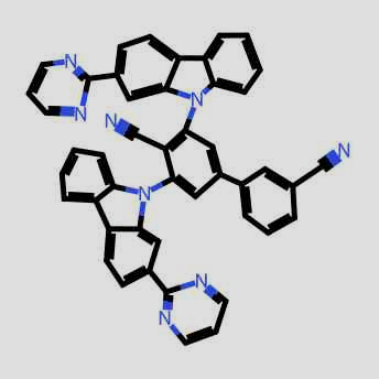 N#Cc1cccc(-c2cc(-n3c4ccccc4c4ccc(-c5ncccn5)cc43)c(C#N)c(-n3c4ccccc4c4ccc(-c5ncccn5)cc43)c2)c1